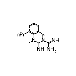 CCCc1cccc(C)c1N(C)C(=N)NC(=N)N